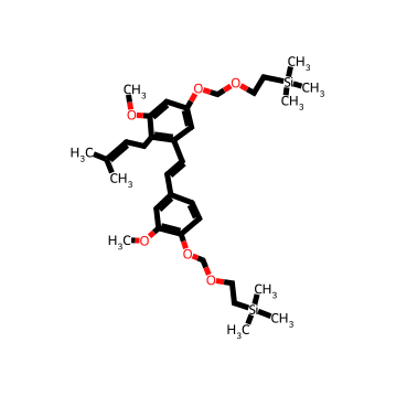 COc1cc(/C=C/c2cc(OCOCC[Si](C)(C)C)cc(OC)c2CC=C(C)C)ccc1OCOCC[Si](C)(C)C